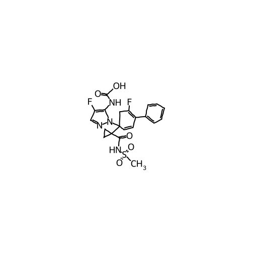 CS(=O)(=O)NC(=O)C1(C2(n3ncc(F)c3NC(=O)O)C=CC(c3ccccc3)=C(F)C2)CC1